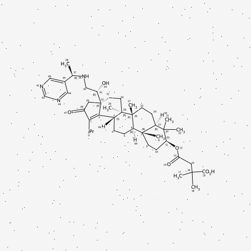 CC(C)C1=C2[C@H]3CC[C@@H]4[C@@]5(C)CC[C@H](OC(=O)CC(C)(C)C(=O)O)C(C)(C)[C@@H]5CC[C@@]4(C)[C@]3(C)CC[C@@]2([C@@H](O)CN[C@H](C)c2cncnc2)CC1=O